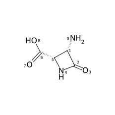 N[C@@H]1C(=O)N[C@@H]1C(=O)O